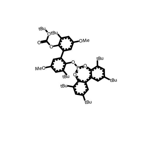 COc1cc(-c2cc(OC)cc(C(C)(C)C)c2Op2oc3c(C(C)(C)C)cc(C(C)(C)C)cc3c3cc(C(C)(C)C)cc(C(C)(C)C)c3o2)c(OC(=O)OC(C)(C)C)c(C(C)(C)C)c1